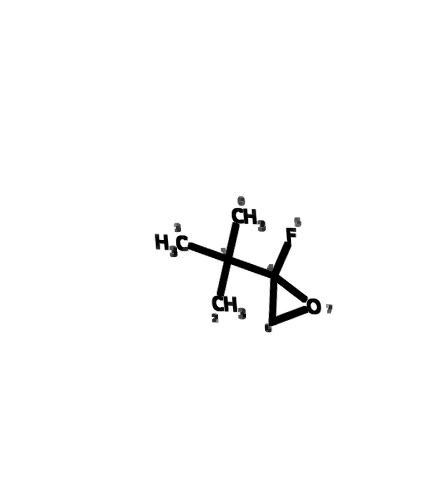 CC(C)(C)C1(F)CO1